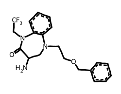 NC1CN(CCOCc2ccccc2)c2ccccc2N(CC(F)(F)F)C1=O